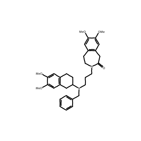 COc1cc2c(cc1OC)CC(=O)N(CCCN(Cc1ccccc1)C1CCc3cc(OC)c(OC)cc3C1)CC2